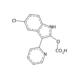 O=C(O)Oc1[nH]c2ccc(Cl)cc2c1-c1ccccn1